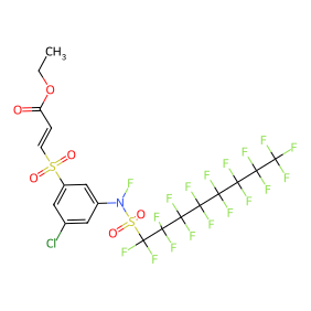 CCOC(=O)C=CS(=O)(=O)c1cc(Cl)cc(N(F)S(=O)(=O)C(F)(F)C(F)(F)C(F)(F)C(F)(F)C(F)(F)C(F)(F)C(F)(F)C(F)(F)F)c1